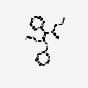 C=CCC(Cc1ccccc1)=C(C(=O)OCC)c1cccnc1